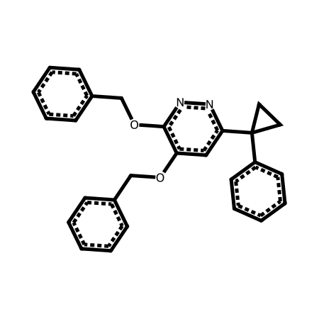 c1ccc(COc2cc(C3(c4ccccc4)CC3)nnc2OCc2ccccc2)cc1